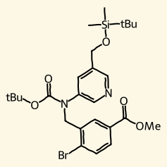 COC(=O)c1ccc(Br)c(CN(C(=O)OC(C)(C)C)c2cncc(CO[Si](C)(C)C(C)(C)C)c2)c1